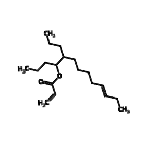 C=CC(=O)OC(CCC)C(CCC)CCCC/C=C/CC